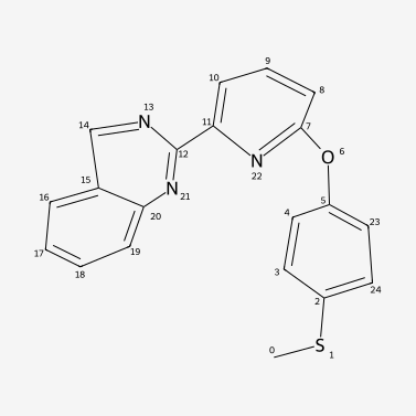 CSc1ccc(Oc2cccc(-c3ncc4ccccc4n3)n2)cc1